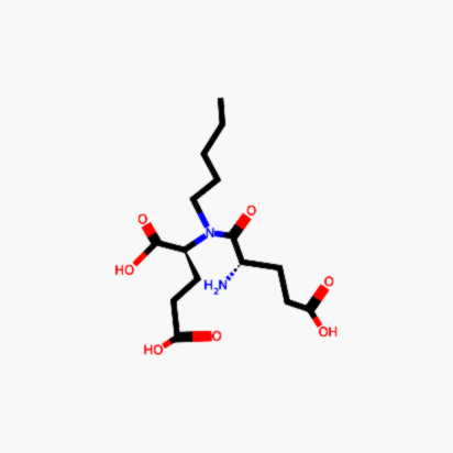 CCCCCN(C(=O)[C@@H](N)CCC(=O)O)[C@@H](CCC(=O)O)C(=O)O